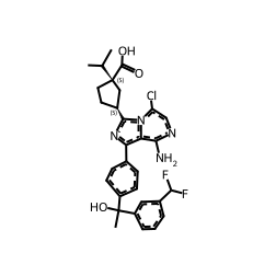 CC(C)[C@]1(C(=O)O)CC[C@H](c2nc(-c3ccc(C(C)(O)c4cccc(C(F)F)c4)cc3)c3c(N)ncc(Cl)n23)C1